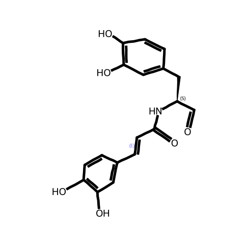 O=C[C@H](Cc1ccc(O)c(O)c1)NC(=O)/C=C/c1ccc(O)c(O)c1